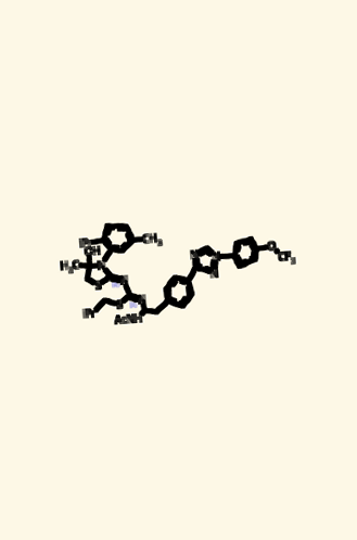 CC(=O)NC(Cc1ccc(-c2ncn(-c3ccc(OC(F)(F)F)cc3)n2)cc1)/N=C(/N=C1\SCC(C)(O)N1c1cc(C)ccc1C(C)C)SCC(C)C